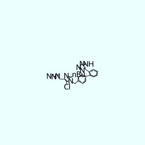 CCCCc1nc(CN=[N+]=[N-])c(Cl)n1Cc1ccc(-c2ccccc2-c2nnn[nH]2)cc1